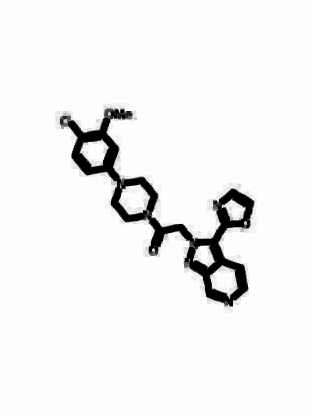 COc1cc(N2CCN(C(=O)Cn3nc4cnccc4c3-c3ncco3)CC2)ccc1Cl